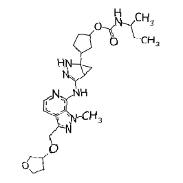 CCC(C)NC(=O)OC1CCC(C23CC2C(Nc2nccc4c(COC5CCOC5)nn(C)c24)=NN3)C1